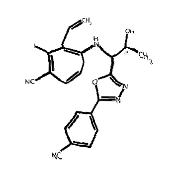 C=Cc1c(NC(c2nnc(-c3ccc(C#N)cc3)o2)[C@H](C)O)ccc(C#N)c1I